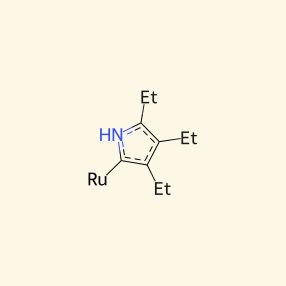 CCc1[nH][c]([Ru])c(CC)c1CC